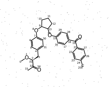 CO[C@@H](Cc1ccc(OC2CCCC2Oc2ccc(C(=O)c3ccc(F)cc3)cc2)cc1)C(C)=O